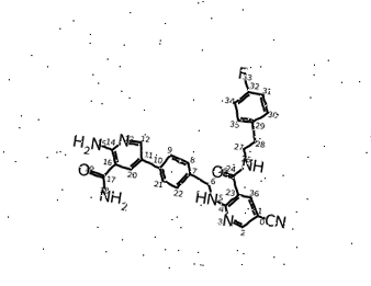 N#Cc1cnc(NCc2ccc(-c3cnc(N)c(C(N)=O)c3)cc2)c(C(=O)NCCc2ccc(F)cc2)c1